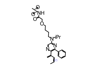 C=C(/C=C\C)c1ncc(N(CCCCOCC(=O)NS(C)(=O)=O)C(C)C)nc1-c1ccccc1